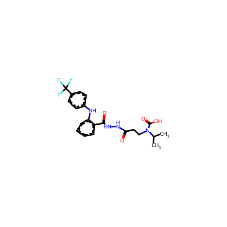 CC(C)N(CCC(=O)NNC(=O)c1ccccc1Nc1ccc(C(F)(F)F)cc1)C(=O)O